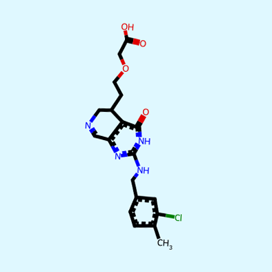 Cc1ccc(CNc2nc3c(c(=O)[nH]2)C(CCOCC(=O)O)CN=C3)cc1Cl